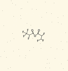 O=C(OC(=O)C(F)C(F)(F)F)C(F)C(F)F